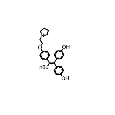 CCCCC(=C(c1ccc(O)cc1)c1ccc(O)cc1)c1ccc(OCCN2CCCC2)cc1